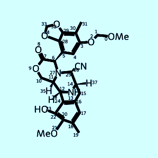 COCOc1cc([C@@H]2C(=O)OC[C@H]3[C@@H]4N[C@@H](Cc5cc(C)c(OC)c(O)c54)[C@H](C#N)N23)c2c(c1C)OCO2